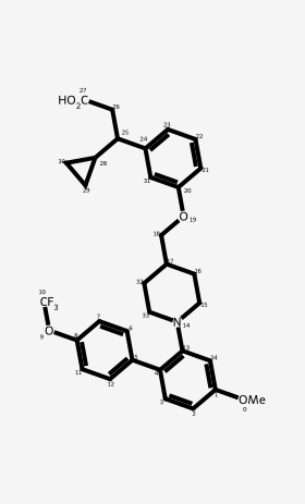 COc1ccc(-c2ccc(OC(F)(F)F)cc2)c(N2CCC(COc3cccc(C(CC(=O)O)C4CC4)c3)CC2)c1